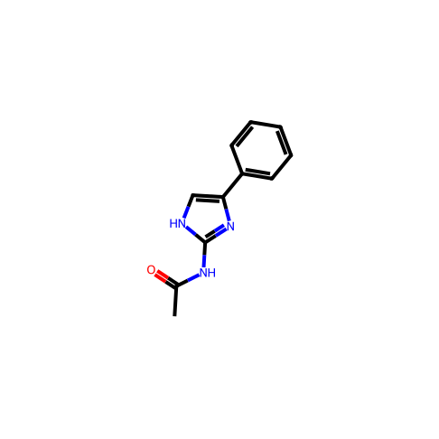 CC(=O)Nc1nc(-c2ccccc2)c[nH]1